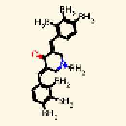 Bc1ccc(/C=C2\CN(B)C/C(=C\c3ccc(B)c(B)c3B)C2=O)c(B)c1B